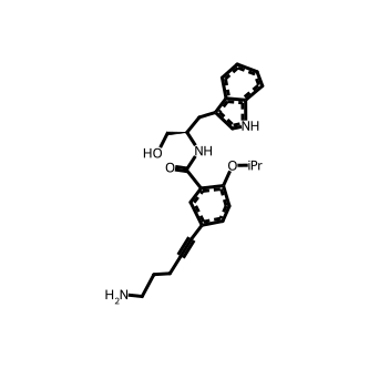 CC(C)Oc1ccc(C#CCCCN)cc1C(=O)N[C@@H](CO)Cc1c[nH]c2ccccc12